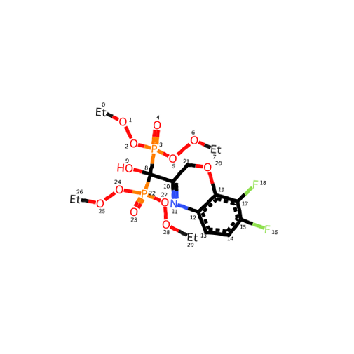 CCOOP(=O)(OOCC)C(O)(C1=Nc2ccc(F)c(F)c2OC1)P(=O)(OOCC)OOCC